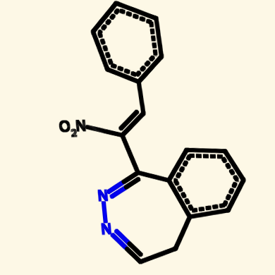 O=[N+]([O-])C(=Cc1ccccc1)C1=NN=CCc2ccccc21